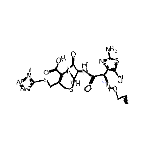 C=CCO/N=C(/C(=O)NC1C(=O)N2C(C(=O)O)=C(CSc3nnnn3C)CS[C@H]12)c1nc(N)sc1Cl